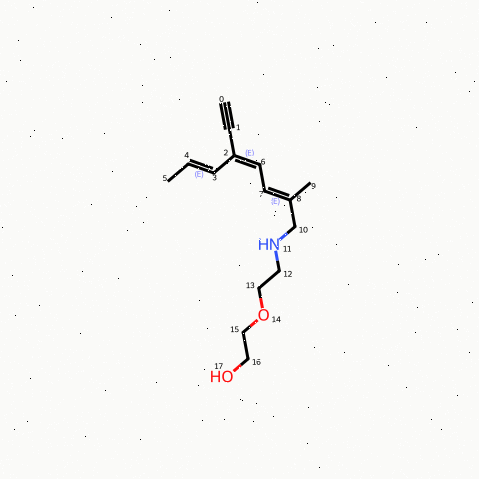 C#CC(/C=C/C)=C/C=C(\C)CNCCOCCO